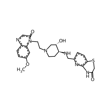 COc1ccc2ncc(=O)n(CCN3CC[C@H](NCc4ccc5c(n4)NC(=O)CS5)[C@@H](O)C3)c2c1